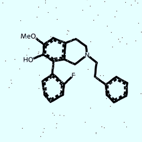 COc1cc2c(c(-c3ccccc3F)c1O)CN(CCc1ccccc1)CC2